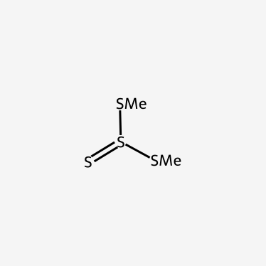 CSS(=S)SC